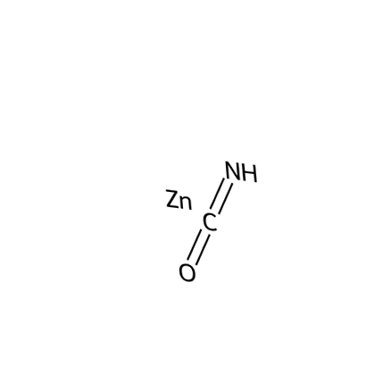 N=C=O.[Zn]